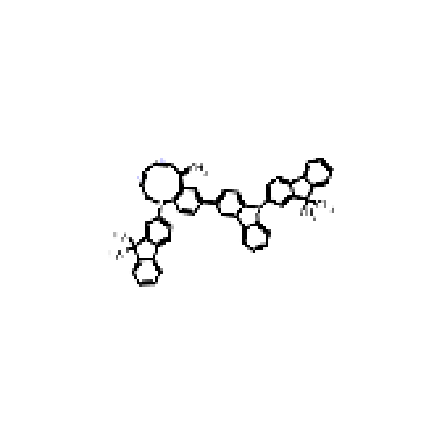 C=C1/C=C\C=C/CN(c2ccc3c(c2)C(C)(C)c2ccccc2-3)c2ccc(-c3ccc4c(c3)c3ccccc3n4-c3ccc4c(c3)C(C)(C)c3ccccc3-4)cc21